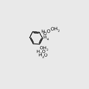 C.O.O.O.O.O.c1ccccc1